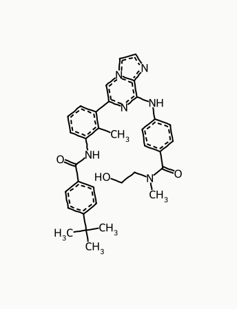 Cc1c(NC(=O)c2ccc(C(C)(C)C)cc2)cccc1-c1cn2ccnc2c(Nc2ccc(C(=O)N(C)CCO)cc2)n1